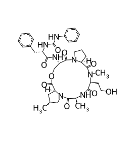 C[C@H]1C[C@H]2C(=O)OC[C@H](NC(=O)[C@H](Cc3ccccc3)NC(=O)Nc3ccccc3)C(=O)N3CCC[C@H]3C(=O)N(C)[C@@H](CCO)C(=O)N[C@@H](C)C(=O)N2C1